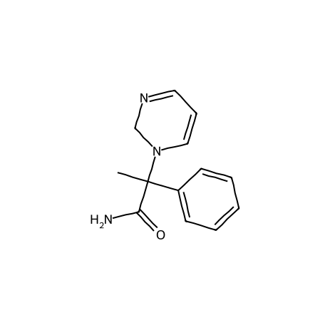 CC(C(N)=O)(c1ccccc1)N1C=CC=NC1